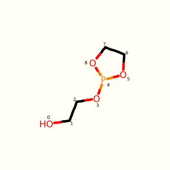 OCCOP1OCCO1